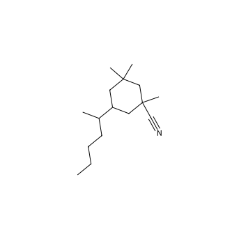 CCCCC(C)C1CC(C)(C)CC(C)(C#N)C1